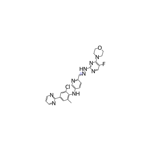 Cc1cc(-c2ncccn2)cc(Cl)c1Nc1ccc(/C=N/Nc2ncc(F)c(N3CCOCC3)n2)nc1